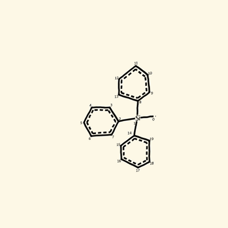 [CH2][Si](c1ccccc1)(c1ccccc1)c1ccccc1